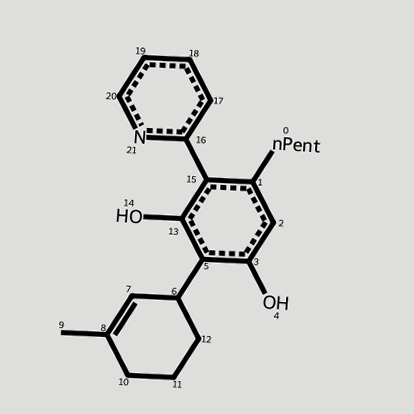 CCCCCc1cc(O)c(C2C=C(C)CCC2)c(O)c1-c1ccccn1